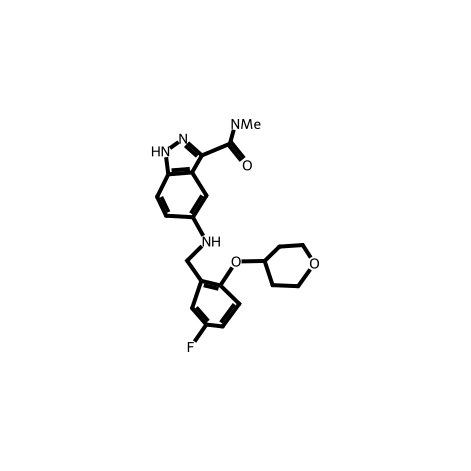 CNC(=O)c1n[nH]c2ccc(NCc3cc(F)ccc3OC3CCOCC3)cc12